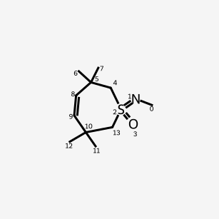 CN=S1(=O)CC(C)(C)C=CC(C)(C)C1